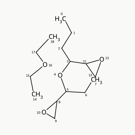 CCCC(OC(CC)C1CO1)C1CO1.CCOCC